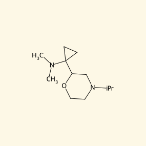 CC(C)N1CCOC(C2(N(C)C)CC2)C1